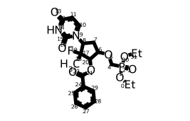 CCOP(=O)(COC1CC(n2ccc(=O)[nH]c2=O)C(C)(F)C1OC(=O)c1ccccc1)OCC